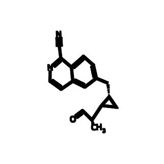 C[C@H](C=O)C1C[C@H]1Cc1ccc2c(C#N)nccc2c1